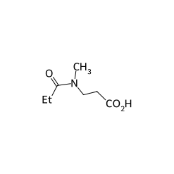 [CH2]CC(=O)N(C)CCC(=O)O